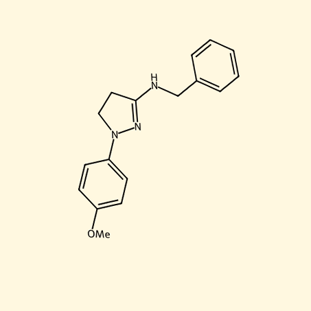 COc1ccc(N2CCC(NCc3ccccc3)=N2)cc1